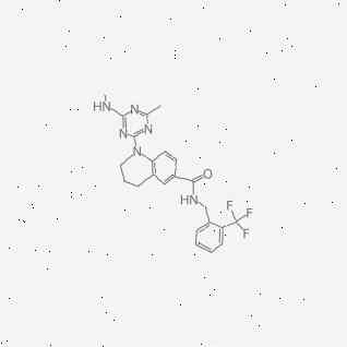 CNc1nc(C)nc(N2CCCc3cc(C(=O)NCc4ccccc4C(F)(F)F)ccc32)n1